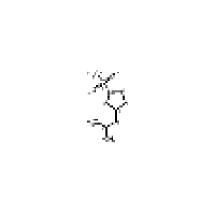 CC(C)CC1CCN(S(C)(=O)=O)C1